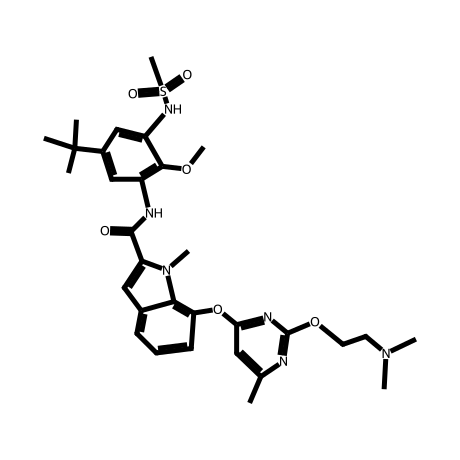 COc1c(NC(=O)c2cc3cccc(Oc4cc(C)nc(OCCN(C)C)n4)c3n2C)cc(C(C)(C)C)cc1NS(C)(=O)=O